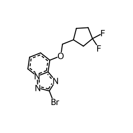 FC1(F)CCC(COc2cccn3nc(Br)nc23)C1